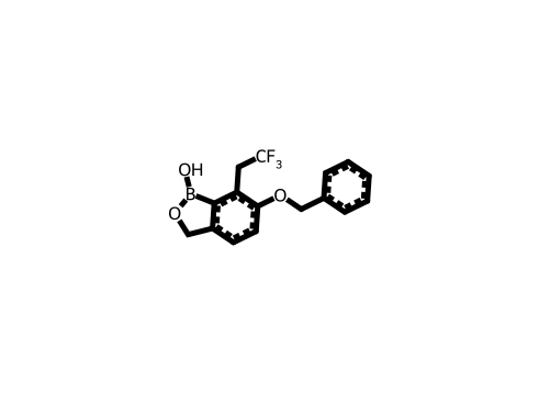 OB1OCc2ccc(OCc3ccccc3)c(CC(F)(F)F)c21